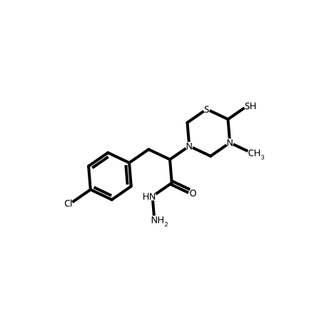 CN1CN(C(Cc2ccc(Cl)cc2)C(=O)NN)CSC1S